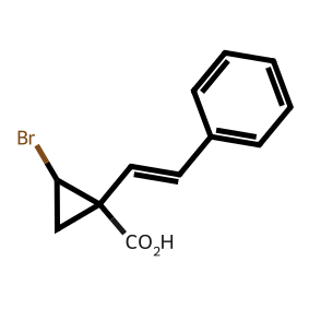 O=C(O)C1(C=Cc2ccccc2)CC1Br